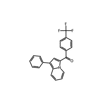 O=C(c1ccc(C(F)(F)F)cc1)c1cc(-c2ccccc2)c2ccccn12